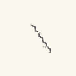 CCCOCCCCNCC